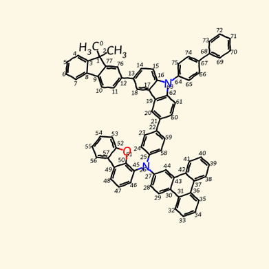 CC1(C)c2ccccc2-c2ccc(-c3ccc4c(c3)c3cc(-c5ccc(N(c6ccc7c8ccccc8c8ccccc8c7c6)c6cccc7c6oc6ccccc67)cc5)ccc3n4-c3ccc(-c4ccccc4)cc3)cc21